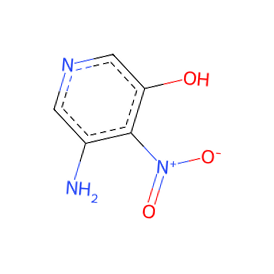 Nc1cncc(O)c1[N+](=O)[O-]